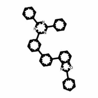 c1ccc(-c2nc(-c3ccccc3)nc(-c3cccc(-c4cccc(-c5cccc6oc(-c7ccccc7)nc56)c4)c3)n2)cc1